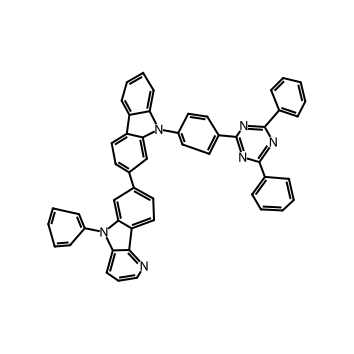 c1ccc(-c2nc(-c3ccccc3)nc(-c3ccc(-n4c5ccccc5c5ccc(-c6ccc7c8ncccc8n(-c8ccccc8)c7c6)cc54)cc3)n2)cc1